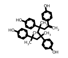 C=C(CC(C)(CC(C)(CC(C)(C)c1ccc(O)cc1)c1ccc(O)cc1)c1ccc(O)cc1)c1ccc(O)cc1